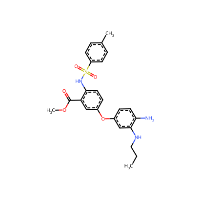 CCCNc1cc(Oc2ccc(NS(=O)(=O)c3ccc(C)cc3)c(C(=O)OC)c2)ccc1N